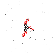 C=COCCOc1ccc(C(C)(c2ccc(OCCOC=C)cc2)c2ccc(OCCOC=C)cc2)cc1